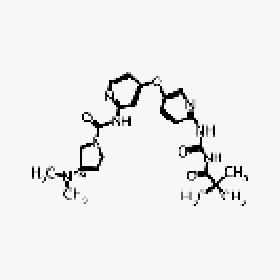 CN(C)[C@H]1CCN(C(=O)Nc2cc(Oc3ccc(NC(=O)NC(=O)C(C)(C)C)nc3)ccn2)C1